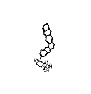 O[Si]1(O)CCO[SiH](c2ccc3cc4c(ccc5cc6cc7ccccc7cc6cc54)cc3c2)[SiH2]1